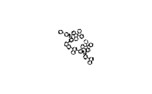 c1ccc(-c2ccc(N(c3cccc(-c4cccc5ccc(-c6ccc(-c7ccc(N(c8cccc(-c9cccc%10ccccc9%10)c8)c8cccc9c8-c8ccccc8C9(c8ccccc8)c8ccccc8)cc7)c7ccccc67)cc45)c3)c3cccc4c3-c3ccccc3C4(c3ccccc3)c3ccccc3)cc2)cc1